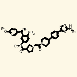 CCNc1nnc(-c2ccc(C3=CCN(C(=O)CN4CCC(C(=O)N(CC)c5ccc(N)c(C(=N)c6ccc(OC(C)C)nc6)c5)C4)CC3)cc2)s1